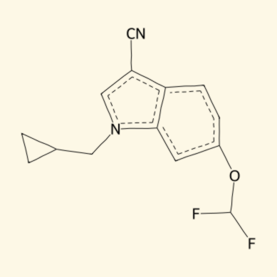 N#Cc1cn(CC2CC2)c2cc(OC(F)F)ccc12